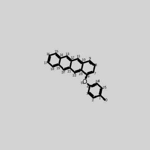 Cc1ccc(Oc2cccc3cc4cc5ccccc5cc4cc23)cc1